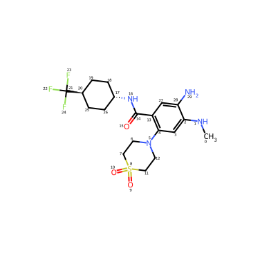 CNc1cc(N2CCS(=O)(=O)CC2)c(C(=O)N[C@H]2CC[C@H](C(F)(F)F)CC2)cc1N